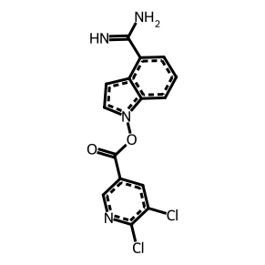 N=C(N)c1cccc2c1ccn2OC(=O)c1cnc(Cl)c(Cl)c1